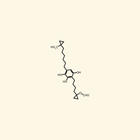 O=COC1(CCCCc2c(O)cc(CCCCCCC3(C(=O)O)CC3)c(O)c2O)CC1